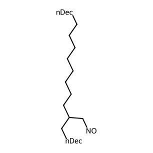 CCCCCCCCCCCCCCCCCCC(CCCCCCCCCCC)CN=O